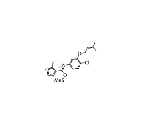 CSO/C(=N\c1ccc(Cl)c(OCC=C(C)C)c1)c1ccoc1C